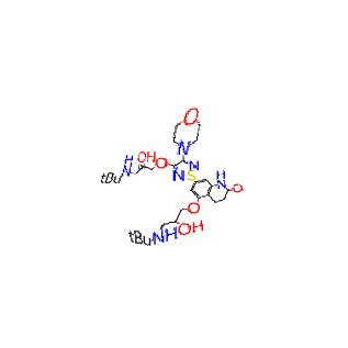 CC(C)(C)NCC(O)COc1cccc2c1CCC(=O)N2.CC(C)(C)NC[C@H](O)COc1nsnc1N1CCOCC1